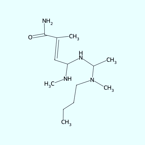 CCCCN(C)C(C)NC(/C=C(\C)C(N)=O)NC